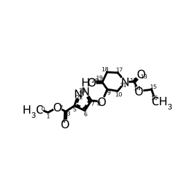 CCOC(=O)c1cc(OC2CN(C(=O)OCC)CCC2=O)[nH]n1